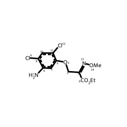 CCOC(=O)C(COc1cc(N)c(Cl)cc1Cl)=NOC